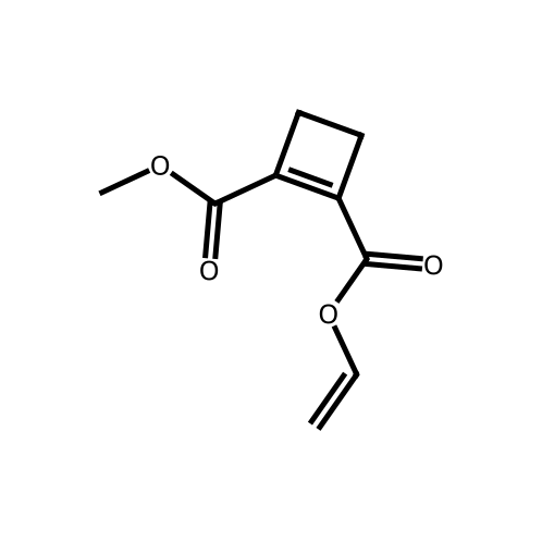 C=COC(=O)C1=C(C(=O)OC)CC1